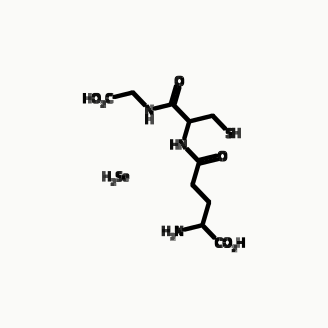 NC(CCC(=O)NC(CS)C(=O)NCC(=O)O)C(=O)O.[SeH2]